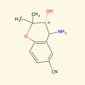 CC1(C)Oc2ccc(C#N)cc2C(N)[C@H]1O